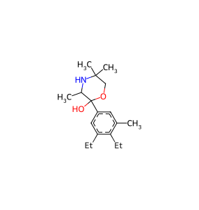 CCc1cc(C2(O)OCC(C)(C)NC2C)cc(C)c1CC